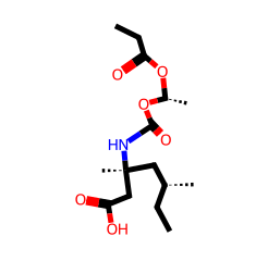 CCC(=O)O[C@H](C)OC(=O)N[C@](C)(CC(=O)O)C[C@H](C)CC